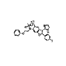 CS(=O)(=O)N(CCOc1ccccc1)c1cc2oc(-c3ccc(F)cc3)c(-c3ncc[nH]3)c2cc1C1CC1